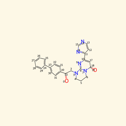 O=C(CN1CCCn2c1nc(-c1ccncn1)cc2=O)c1ccc(-c2ccccc2)cc1